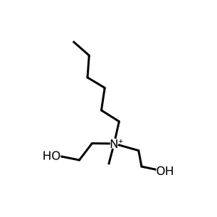 CCCCCC[N+](C)(CCO)CCO